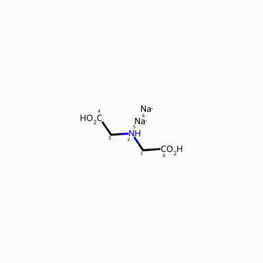 O=C(O)CNCC(=O)O.[Na].[Na]